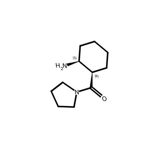 N[C@H]1CCCC[C@H]1C(=O)N1CCCC1